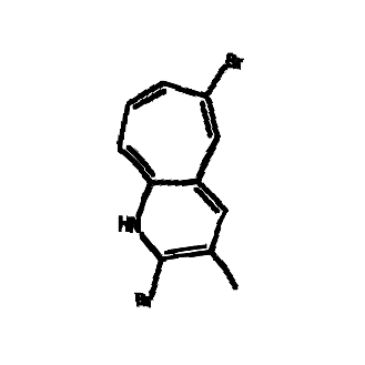 CC1=C(Br)NC2=CC=CC(Br)=CC2=C1